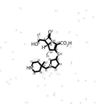 C[C@@H](O)[C@H]1C(=O)N2C(C(=O)O)=C(SC3CCN(CC4(C)CCNCC4)C3)[C@H](C)[C@H]12